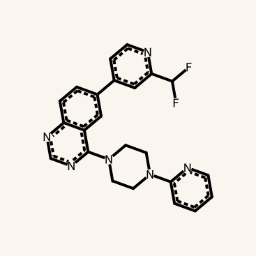 FC(F)c1cc(-c2ccc3ncnc(N4CCN(c5ccccn5)CC4)c3c2)ccn1